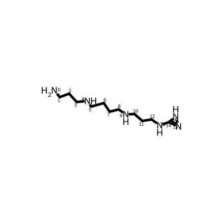 NCCCNCCCCNCCCNC1=NN1